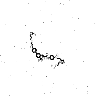 CCCCOCCOc1ccc(-c2ccc(C(F)(F)F)c(/C=C/C(=O)Nc3ccc([S@@+]([O-])CCc4cncn4CCC)cc3)c2)cc1